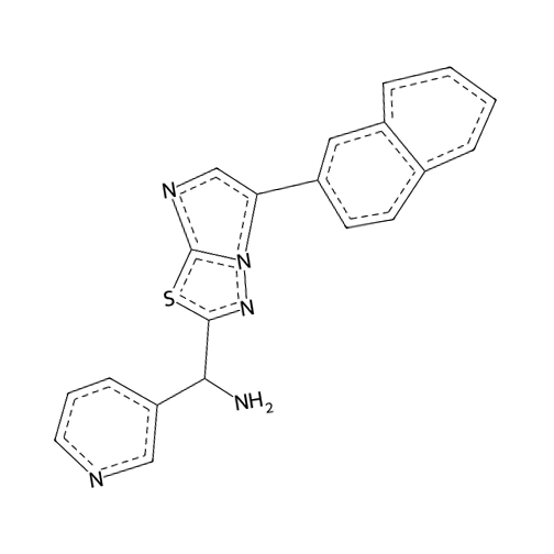 NC(c1cccnc1)c1nn2c(-c3ccc4ccccc4c3)cnc2s1